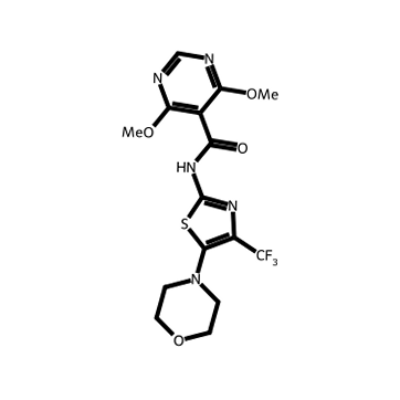 COc1ncnc(OC)c1C(=O)Nc1nc(C(F)(F)F)c(N2CCOCC2)s1